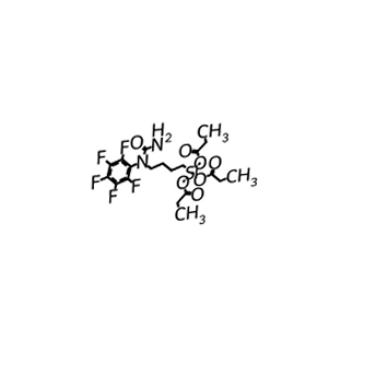 CCC(=O)O[Si](CCCCN(C(N)=O)c1c(F)c(F)c(F)c(F)c1F)(OC(=O)CC)OC(=O)CC